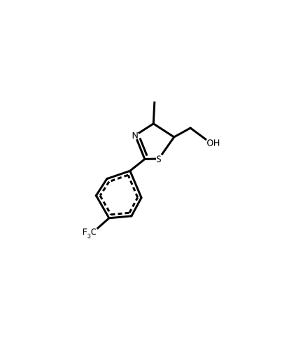 CC1N=C(c2ccc(C(F)(F)F)cc2)SC1CO